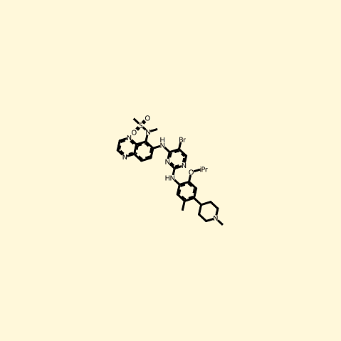 Cc1cc(Nc2ncc(Br)c(Nc3ccc4nccnc4c3N(C)S(C)(=O)=O)n2)c(OC(C)C)cc1C1CCN(C)CC1